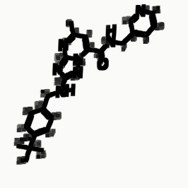 Cc1cc(C(=O)NCc2cccnc2)n2nc(NCc3ccc(C(C)(C)C)cc3)nc2n1